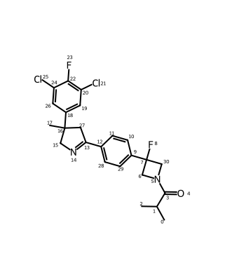 CC(C)C(=O)N1CC(F)(c2ccc(C3=NCC(C)(c4cc(Cl)c(F)c(Cl)c4)C3)cc2)C1